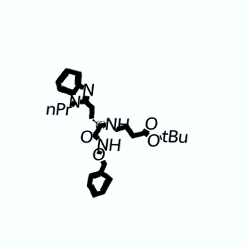 CCCn1c(CC[C@H](NCCCC(=O)OC(C)(C)C)C(=O)NOCc2ccccc2)nc2ccccc21